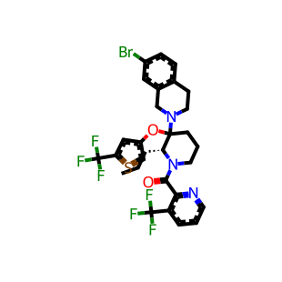 CCC[C@H]1N(C(=O)c2ncccc2C(F)(F)F)CCCC1(Oc1csc(C(F)(F)F)c1)N1CCc2ccc(Br)cc2C1